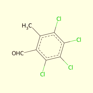 Cc1c(Cl)c(Cl)c(Cl)c(Cl)c1C=O